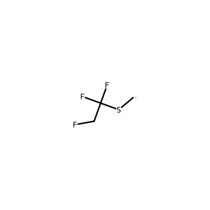 [CH2]SC(F)(F)CF